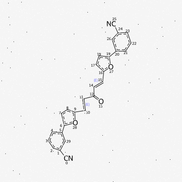 N#Cc1cccc(-c2ccc(/C=C/C(=O)/C=C/c3ccc(-c4cccc(C#N)c4)o3)o2)c1